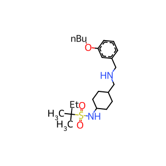 CCCCOc1cccc(CNCC2CCC(NS(=O)(=O)C(C)(C)CC)CC2)c1